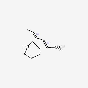 C/C=C/C=C/C(=O)O.C1CCNCC1